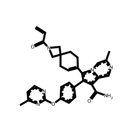 C=CC(=O)N1CC2(CC=C(c3c(-c4ccc(Oc5nccc(C)n5)cc4)c(C(N)=O)c4cnc(C)cn34)CC2)C1